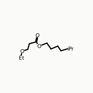 CCOCCC(=O)OCCCCC(C)C